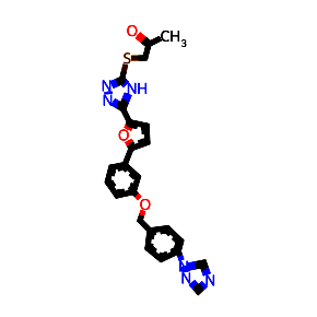 CC(=O)CSc1nnc(-c2ccc(-c3cccc(OCc4ccc(-n5cncn5)cc4)c3)o2)[nH]1